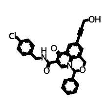 O=C(NCc1ccc(Cl)cc1)c1cn2c3c(cc(C#CCO)cc3c1=O)COC2c1ccccc1